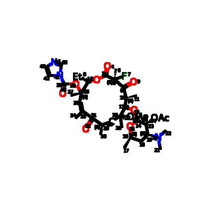 CC[C@H]1OC(=O)[C@@](C)(F)C(=O)[C@H](C)[C@@H](O[C@@H]2O[C@H](C)C[C@H](N(C)C)[C@H]2OC(C)=O)[C@](C)(OC)C[C@@H](C)C(=O)C(C)=C[C@]1(C)OC(=O)n1ccnc1